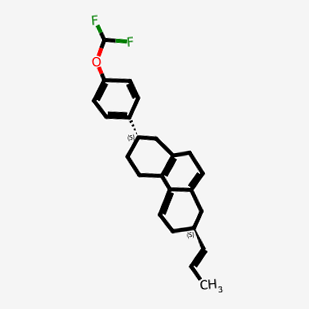 CC=C[C@H]1CC=C2C(=CCC3=C2CC[C@H](c2ccc(OC(F)F)cc2)C3)C1